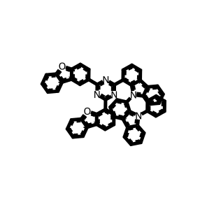 c1ccc(-n2c3ccccc3c3cccc(-n4c5ccccc5c5cccc(-c6nc(-c7ccc8oc9ccccc9c8c7)nc(-c7cccc8c7oc7ccccc78)n6)c54)c32)cc1